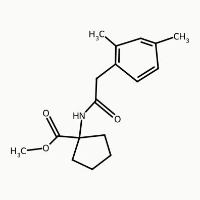 COC(=O)C1(NC(=O)Cc2ccc(C)cc2C)CCCC1